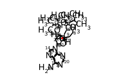 CC(C)[Si]1(C(C)C)OCC2[C@@H]3O[C@@H](n4cnc5c(N)ncnc54)C(ON2C)[C@H]3O[Si](C(C)C)(C(C)C)O1